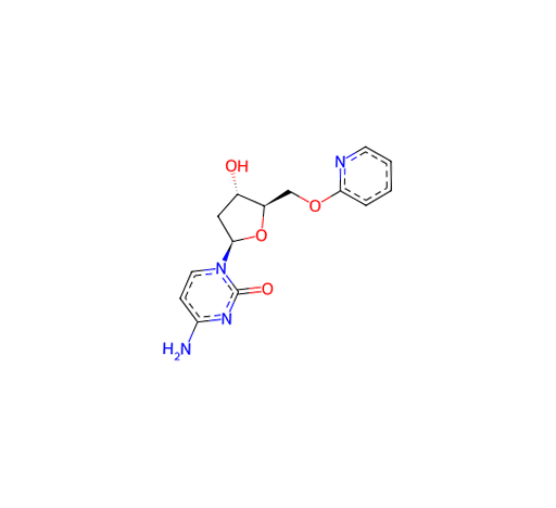 Nc1ccn([C@H]2C[C@H](O)[C@@H](COc3ccccn3)O2)c(=O)n1